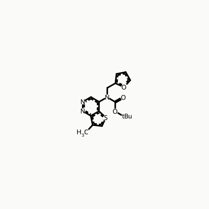 Cc1csc2c(N(Cc3ccco3)C(=O)OC(C)(C)C)cnnc12